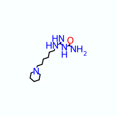 N=C(NCCCCCCN1CCCCC1)NC(N)=O